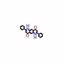 O=c1cc(-c2ccccc2)[nH]c2cc3c(=O)cc(-c4ccccc4)[nH]c3cc12